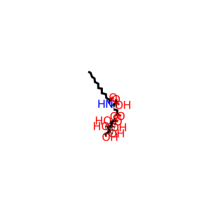 CCCCCCCCCCCC(=O)N[C@@H](CCC(=O)OC(=O)[C@H](O)[C@@H](O)[C@H](O)[C@H](O)CO)C(=O)O